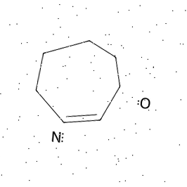 C1=CCCCCC1.[N].[O]